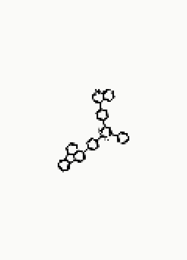 c1ccc(-c2cc(-c3ccc(-c4ccnc5ccccc45)cc3)nc(-c3ccc(-c4ccc5c6c(cccc46)-c4ccccc4-5)cc3)n2)cc1